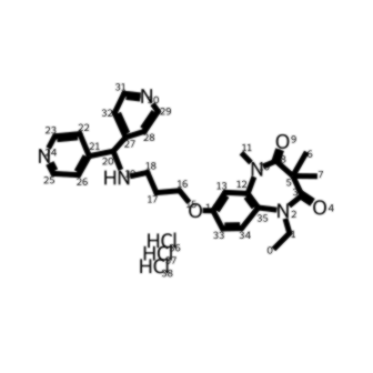 CCN1C(=O)C(C)(C)C(=O)N(C)c2cc(OCCCNC(c3ccncc3)c3ccncc3)ccc21.Cl.Cl.Cl